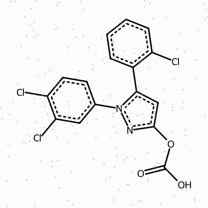 O=C(O)Oc1cc(-c2ccccc2Cl)n(-c2ccc(Cl)c(Cl)c2)n1